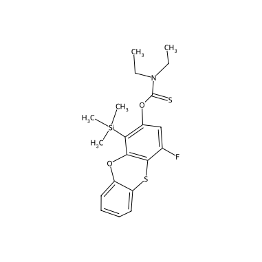 CCN(CC)C(=S)Oc1cc(F)c2c(c1[Si](C)(C)C)Oc1ccccc1S2